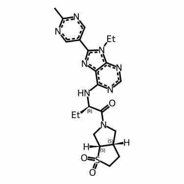 CC[C@@H](Nc1ncnc2c1nc(-c1cnc(C)nc1)n2CC)C(=O)N1C[C@@H]2CCS(=O)(=O)[C@@H]2C1